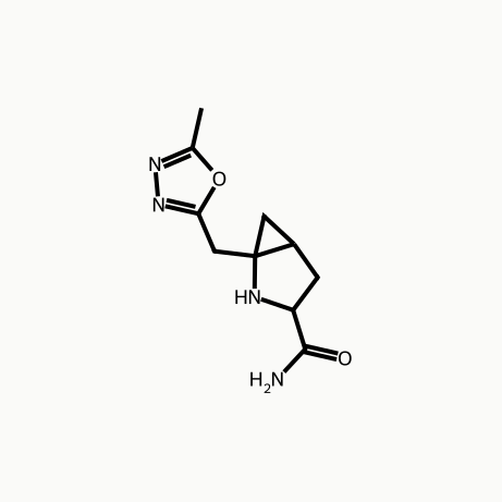 Cc1nnc(CC23CC2CC(C(N)=O)N3)o1